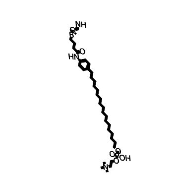 C[N+](C)(C)CCOP(=O)(O)OCCCCCCCCCCCCCCCCCCc1ccc(NC(=O)CCC[B+]OC=N)cc1